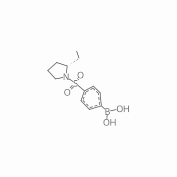 CC[C@H]1CCCN1S(=O)(=O)c1ccc(B(O)O)cc1